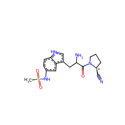 CS(=O)(=O)Nc1ccc2[nH]cc(CC(N)C(=O)N3CCC[C@H]3C#N)c2c1